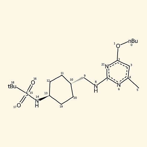 CCCCOc1cc(C)nc(NC[C@H]2CC[C@H](NS(=O)(=O)C(C)(C)C)CC2)n1